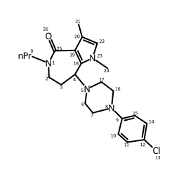 CCCN1CCC(N2CCN(c3ccc(Cl)cc3)CC2)c2c(c(C)cn2C)C1=O